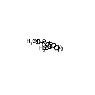 CCC1(OC(=O)C2CCN(C)CC2)CC[C@H]2[C@@H]3CCC4=C(CCC5(C4)OCCO5)C3=CC[C@@]21C